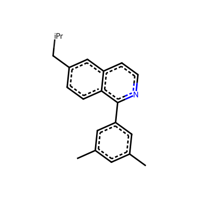 Cc1cc(C)cc(-c2nccc3cc(CC(C)C)ccc23)c1